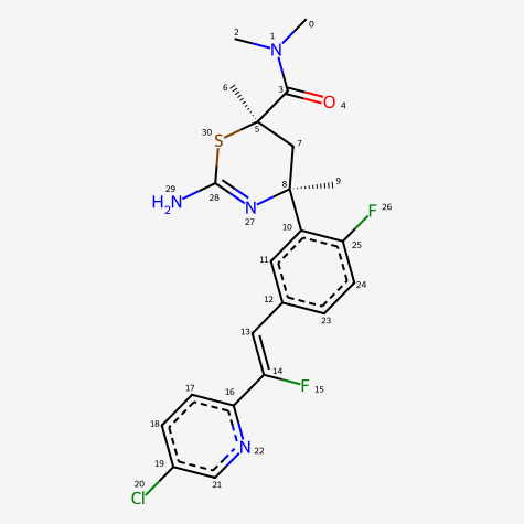 CN(C)C(=O)[C@@]1(C)C[C@@](C)(c2cc(/C=C(\F)c3ccc(Cl)cn3)ccc2F)N=C(N)S1